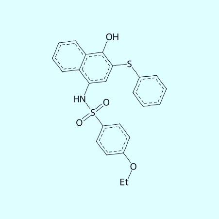 CCOc1ccc(S(=O)(=O)Nc2cc(Sc3ccccc3)c(O)c3ccccc23)cc1